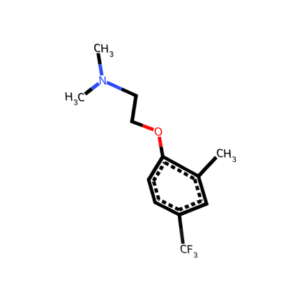 Cc1cc(C(F)(F)F)ccc1OCCN(C)C